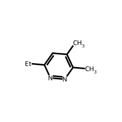 CCc1cc(C)c(C)nn1